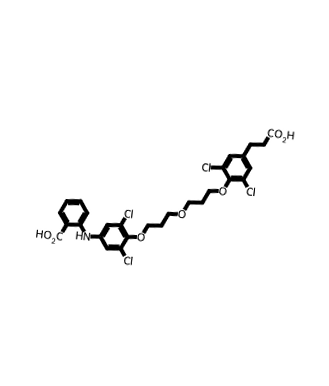 O=C(O)CCc1cc(Cl)c(OCCCOCCCOc2c(Cl)cc(Nc3ccccc3C(=O)O)cc2Cl)c(Cl)c1